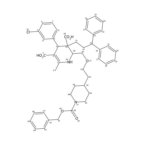 CC1=C(C(=O)O)C(c2cccc(Cl)c2)C(CCC(c2ccccc2)c2ccccc2)(C(=O)O)C(COCCC2CCN(C(=O)OCc3ccccc3)CC2)N1